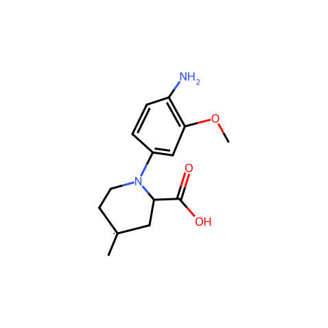 COc1cc(N2CC[C](C)CC2C(=O)O)ccc1N